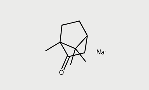 CC12CCC(CC1=O)C2(C)C.[Na]